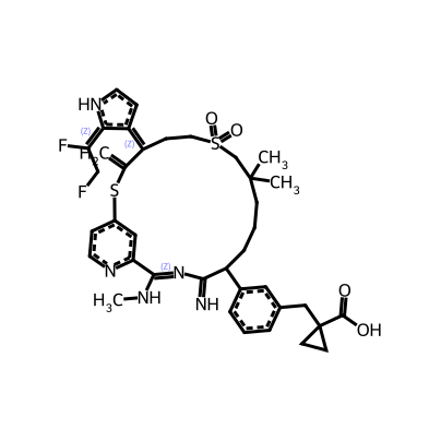 C=C1Sc2ccnc(c2)/C(NC)=N/C(=N)C(c2cccc(CC3(C(=O)O)CC3)c2)CCCC(C)(C)CS(=O)(=O)CC/C1=c1\cc[nH]\c1=C(/F)CF